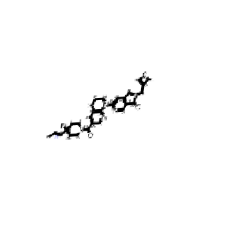 C/C=C/C1(F)CCN(C(=O)c2cnc3c(c2)CCCN3c2cc3c(cn2)C(=O)N(CC2COC2)C3)CC1